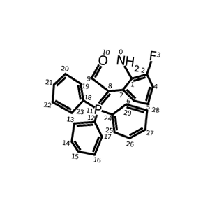 Nc1c(F)cccc1C(C=O)=P(c1ccccc1)(c1ccccc1)c1ccccc1